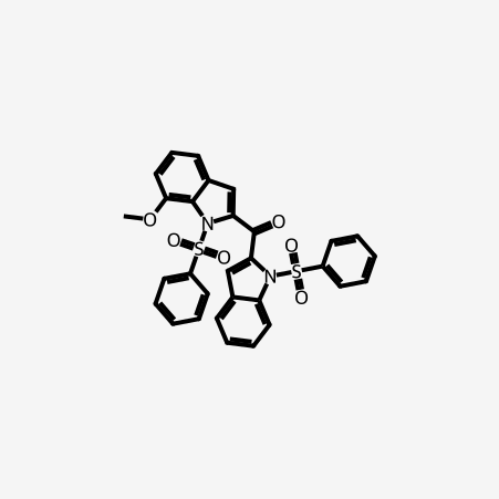 COc1cccc2cc(C(=O)c3cc4ccccc4n3S(=O)(=O)c3ccccc3)n(S(=O)(=O)c3ccccc3)c12